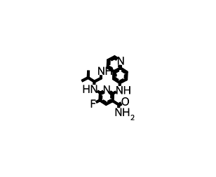 CC(C)C(CN)Nc1nc(Nc2ccc3ncccc3c2)c(C(N)=O)cc1F